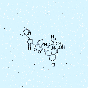 CC(C)(C)N(Cc1ccc(Cl)cc1CNC(=O)[C@@H]1CCCN1C(=O)c1cc(-c2ccccn2)c[nH]1)C(=O)O